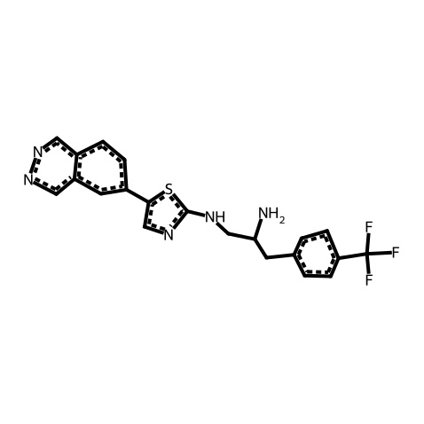 NC(CNc1ncc(-c2ccc3cnncc3c2)s1)Cc1ccc(C(F)(F)F)cc1